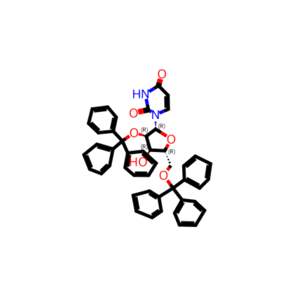 O=c1ccn([C@@H]2O[C@H](COC(c3ccccc3)(c3ccccc3)c3ccccc3)[C@@H](O)[C@H]2OC(c2ccccc2)(c2ccccc2)c2ccccc2)c(=O)[nH]1